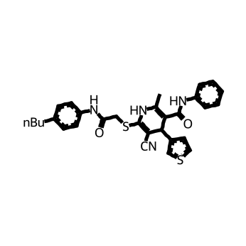 CCCCc1ccc(NC(=O)CSC2=C(C#N)C(c3ccsc3)C(C(=O)Nc3ccccc3)=C(C)N2)cc1